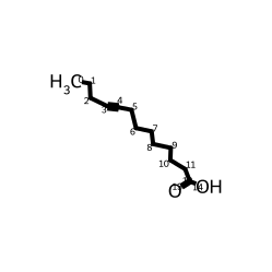 CCCC#CCCCCCCCC(=O)O